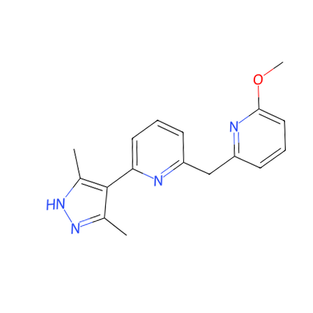 COc1cccc(Cc2cccc(-c3c(C)n[nH]c3C)n2)n1